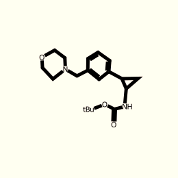 CC(C)(C)OC(=O)NC1CC1c1cccc(CN2CCOCC2)c1